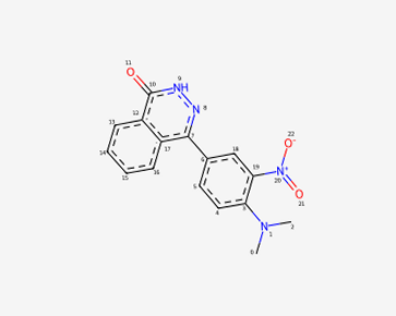 CN(C)c1ccc(-c2n[nH]c(=O)c3ccccc23)cc1[N+](=O)[O-]